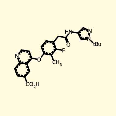 Cc1c(Oc2ccnc3ccc(C(=O)O)cc23)ccc(CC(=O)Nc2cnn(C(C)(C)C)c2)c1F